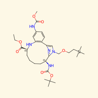 CCOC(=O)[C@@H]1CCCC[C@H](NC(=O)OC(C)(C)C)c2nc(cn2COCC[Si](C)(C)C)-c2ccc(NC(=O)OC)cc2N1